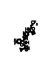 O=C(CCC(F)(F)F)N[C@@H](c1cnn2cc([C@@H](NC(=O)c3cnoc3C3CC3)C3CCC(F)(F)CC3)nc2c1)C1CCC1